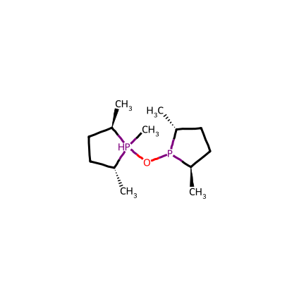 C[C@@H]1CC[C@@H](C)P1O[PH]1(C)[C@H](C)CC[C@H]1C